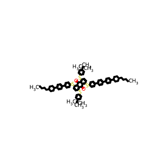 CCCCCC1CCC(c2ccc(-c3ccc(Sc4ccc(Sc5ccc(C(C)(C)C)cc5)c5c4C(=O)c4c(Sc6ccc(C(C)(C)C)cc6)ccc(Sc6ccc(-c7ccc(-c8ccc(C9CCC(CCCCC)CC9)cc8)cc7)cc6)c4C5=O)cc3)cc2)CC1